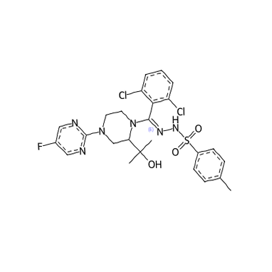 Cc1ccc(S(=O)(=O)N/N=C(\c2c(Cl)cccc2Cl)N2CCN(c3ncc(F)cn3)CC2C(C)(C)O)cc1